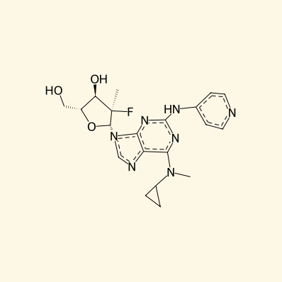 CN(c1nc(Nc2ccncc2)nc2c1ncn2[C@@H]1O[C@H](CO)[C@@H](O)[C@@]1(C)F)C1CC1